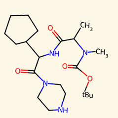 CC(C(=O)NC(C(=O)N1CCNCC1)C1CCCCC1)N(C)C(=O)OC(C)(C)C